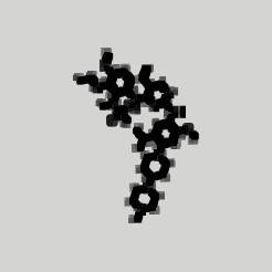 C=Cc1cnc(Nc2cc(C(C)C)c(N3CCC(N4CCN(C)CC4)CC3)cc2OC)nc1Nc1ccc(N=C)c(/N=C/C)c1N(C)S(C)(=O)=O